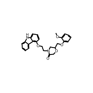 COc1ccccc1OCC1CN(CCOc2cccc3[nH]c4ccccc4c23)C(=O)CO1